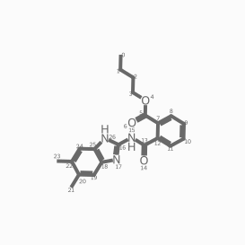 CCCCOC(=O)c1ccccc1C(=O)Nc1nc2cc(C)c(C)cc2[nH]1